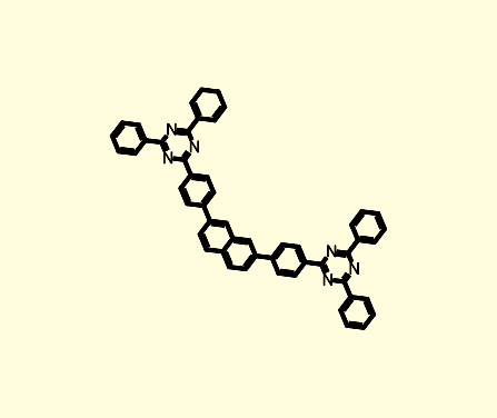 C1=CC(c2nc(-c3ccccc3)nc(-c3ccc(-c4ccc5ccc(-c6ccc(-c7nc(-c8ccccc8)nc(-c8ccccc8)n7)cc6)cc5c4)cc3)n2)=CCC1